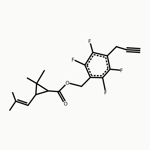 C#CCc1c(F)c(F)c(COC(=O)C2C(C=C(C)C)C2(C)C)c(F)c1F